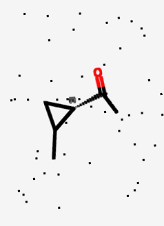 CC(=O)[C@H]1CC1C